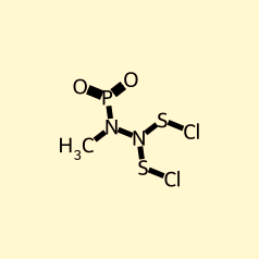 CN(N(SCl)SCl)P(=O)=O